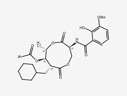 COc1ccnc(C(=O)N[C@H]2COC(=O)[C@H](CC3CCCCC3)[C@@H](OC(=O)C(C)C)[C@H](C)OC2=O)c1O